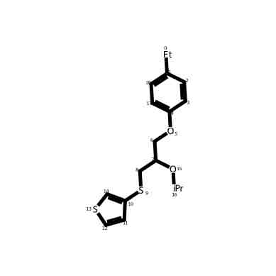 CCc1ccc(OCC(CSc2ccsc2)OC(C)C)cc1